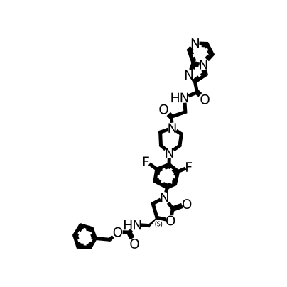 O=C(NC[C@H]1CN(c2cc(F)c(N3CCN(C(=O)CNC(=O)c4cn5ccncc5n4)CC3)c(F)c2)C(=O)O1)OCc1ccccc1